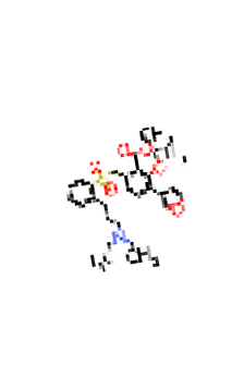 CCN(CC)CCCc1ccccc1S(=O)(=O)Cc1ccc(-c2ccoc2)c(OC)c1C(=O)OC